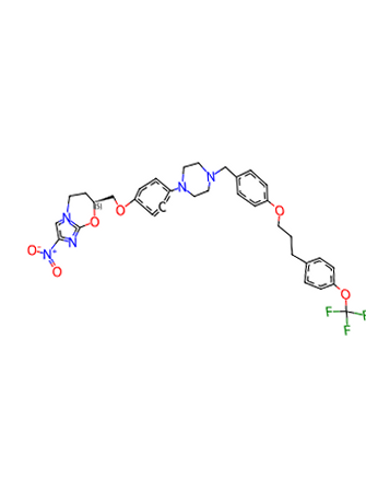 O=[N+]([O-])c1cn2c(n1)O[C@H](COc1ccc(N3CCN(Cc4ccc(OCCCc5ccc(OC(F)(F)F)cc5)cc4)CC3)cc1)CC2